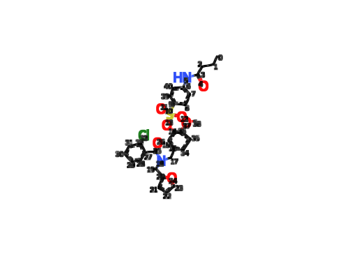 CCCC(=O)Nc1ccc(S(=O)(=O)Oc2cc(CN(Cc3ccco3)C(=O)c3ccccc3Cl)ccc2OC)cc1